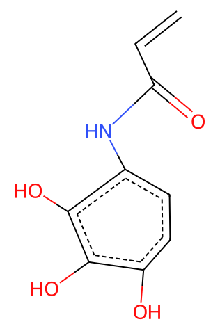 C=CC(=O)Nc1ccc(O)c(O)c1O